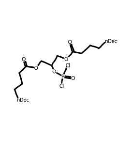 CCCCCCCCCCCCCC(=O)OCC(COC(=O)CCCCCCCCCCCCC)OP(=O)(Cl)Cl